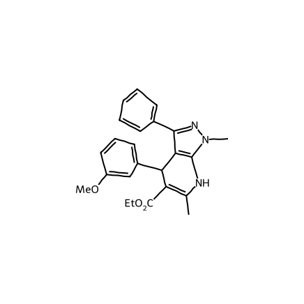 CCOC(=O)C1=C(C)Nc2c(c(-c3ccccc3)nn2C)C1c1cccc(OC)c1